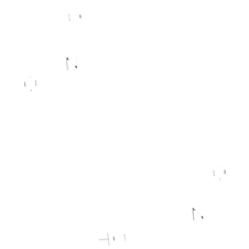 O=[N+]([O-])c1ccc2onc(O)c2c1